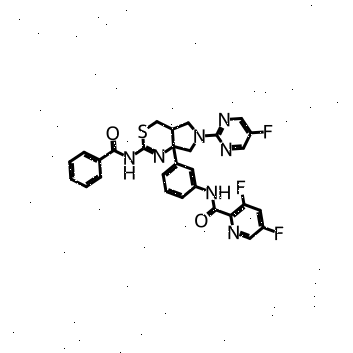 O=C(NC1=NC2(c3cccc(NC(=O)c4ncc(F)cc4F)c3)CN(c3ncc(F)cn3)CC2CS1)c1ccccc1